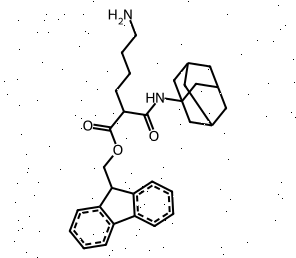 NCCCCC(C(=O)NC12CC3CC(CC(C3)C1)C2)C(=O)OCC1c2ccccc2-c2ccccc21